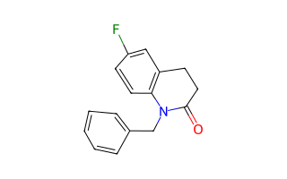 O=C1CCc2cc(F)ccc2N1Cc1ccccc1